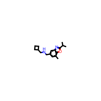 Cc1cc(CNCC2CCC2)cc2nc(C(C)C)oc12